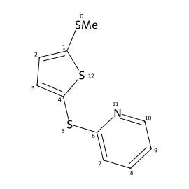 CSc1ccc(Sc2ccccn2)s1